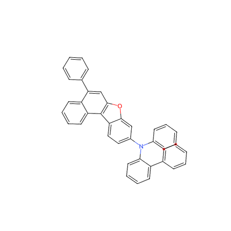 c1ccc(-c2ccccc2N(c2ccccc2)c2ccc3c(c2)oc2cc(-c4ccccc4)c4ccccc4c23)cc1